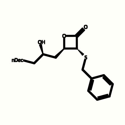 CCCCCCCCCCC[C@@H](O)C[C@H]1OC(=O)[C@@H]1SCc1ccccc1